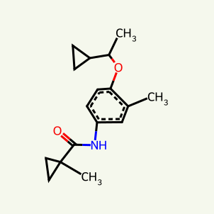 Cc1cc(NC(=O)C2(C)CC2)ccc1OC(C)C1CC1